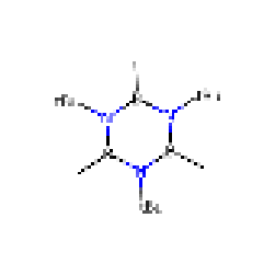 CB1N(C(C)(C)C)B(C)N(C(C)(C)C)B(C)N1C(C)(C)C